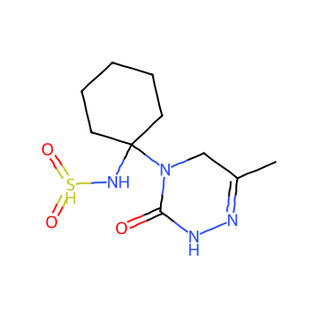 CC1=NNC(=O)N(C2(N[SH](=O)=O)CCCCC2)C1